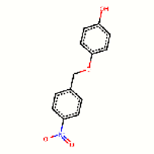 O=[N+]([O-])c1ccc(COc2ccc(O)cc2)cc1